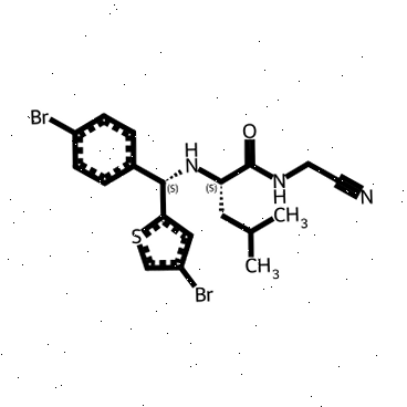 CC(C)C[C@H](N[C@@H](c1ccc(Br)cc1)c1cc(Br)cs1)C(=O)NCC#N